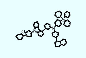 c1ccc([Si](c2ccccc2)(c2ccccc2)c2ccc(N(c3ccc(-c4cccc5ccccc45)cc3)c3cccc(-c4cccc5c4c4ccccc4n5-c4ccc5c(c4)oc4ccccc45)c3)cc2)cc1